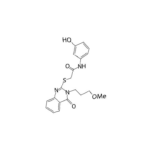 COCCCn1c(SCC(=O)Nc2cccc(O)c2)nc2ccccc2c1=O